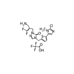 Cn1c(-c2ccc(Cn3cnn(CC(CN)=C(F)F)c3=O)s2)cnc1Cl.O=C(O)C(F)(F)F